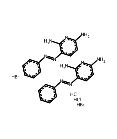 Br.Br.Cl.Cl.Nc1ccc(/N=N/c2ccccc2)c(N)n1.Nc1ccc(/N=N/c2ccccc2)c(N)n1